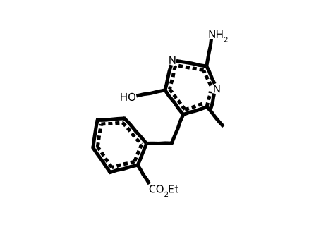 CCOC(=O)c1ccccc1Cc1c(C)nc(N)nc1O